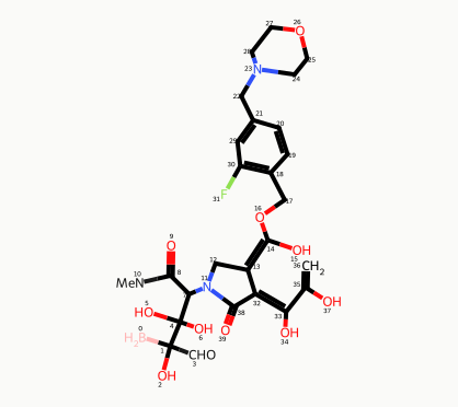 BC(O)(C=O)C(O)(O)C(C(=O)NC)N1CC(=C(/O)OCc2ccc(CN3CCOCC3)cc2F)/C(=C(/O)C(=C)O)C1=O